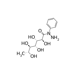 C[C@@H](O)[C@@H](O)[C@@H](O)[C@H](O)[C@H](O)C(=O)N(N)c1ccccc1